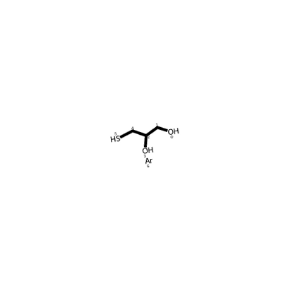 OCC(O)CS.[Ar]